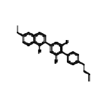 C=CCCc1ccc(-c2c(F)cc(-c3ccc4cc(CC)ccc4c3F)cc2F)cc1